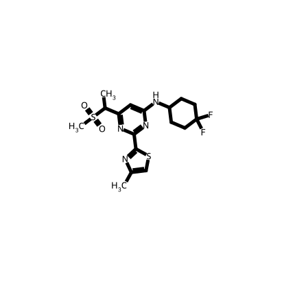 Cc1csc(-c2nc(NC3CCC(F)(F)CC3)cc(C(C)S(C)(=O)=O)n2)n1